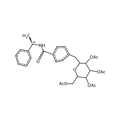 CC(=O)OCC1OC(Cc2ccc(C(=O)N[C@H](C)c3ccccc3)cc2)C(OC(C)=O)C(OC(C)=O)C1OC(C)=O